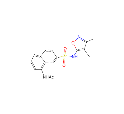 CC(=O)Nc1cccc2ccc(S(=O)(=O)Nc3onc(C)c3C)cc12